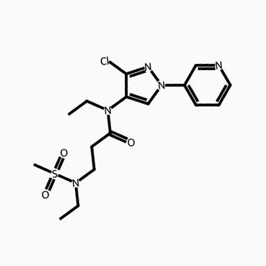 CCN(C(=O)CCN(CC)S(C)(=O)=O)c1cn(-c2cccnc2)nc1Cl